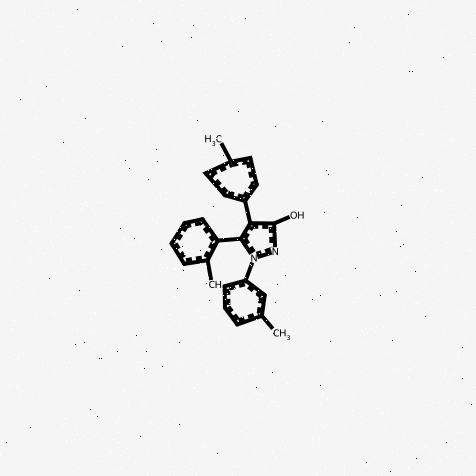 Cc1ccc(-c2c(O)nn(-c3cccc(C)c3)c2-c2ccccc2C)cc1